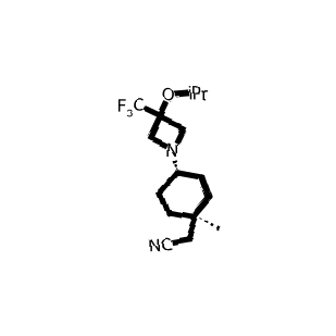 CC(C)OC1(C(F)(F)F)CN([C@H]2CC[C@](C)(CC#N)CC2)C1